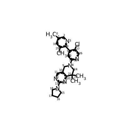 Cc1cnc(-c2cc(N3Cc4cnc(N5CCCC5)nc4C(C)(C)C3)ncc2Cl)c(C)c1